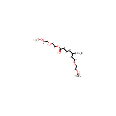 CCCCOCCOCCOC(=O)CCCC(CCOCCOCCCC)C(=O)O